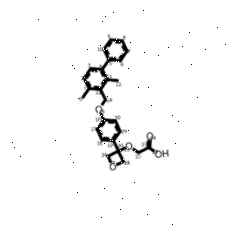 Cc1ccc(-c2ccccc2)c(C)c1COc1ccc(C2(OCC(=O)O)COC2)cc1